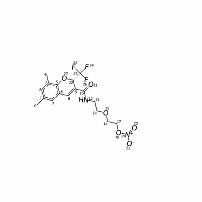 Cc1cc(C)c2c(c1)C=C(C(=O)NCCOCCO[N+](=O)[O-])[C@@H](C(F)(F)F)O2